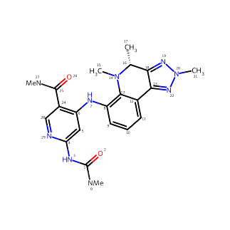 CNC(=O)Nc1cc(Nc2cccc3c2N(C)[C@H](C)c2nn(C)nc2-3)c(C(=O)NC)cn1